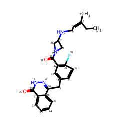 CCC(C)=CCNC1CN(C(=O)c2cc(Cc3n[nH]c(=O)c4ccccc34)ccc2F)C1